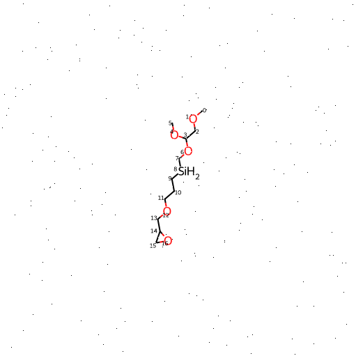 COCC(OC)OC[SiH2]CCCOCC1CO1